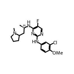 COc1ccc(Nc2ncc(F)c(N[C@H](C)CC3CCCN3C)n2)cc1Cl